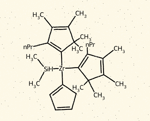 CCCC1=[C]([Zr]([C]2=CC=CC2)([C]2=C(CCC)C(C)=C(C)C2(C)C)[SiH](C)C)C(C)(C)C(C)=C1C